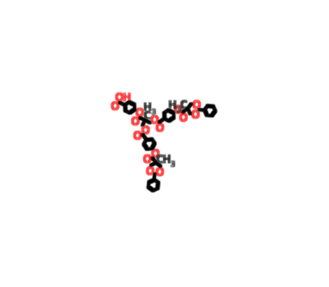 CC(COC(=O)c1ccc(OC(=O)C2(C)COC(c3ccccc3)OC2)cc1)(COC(=O)c1ccc(OC(=O)C2(C)COC(c3ccccc3)OC2)cc1)C(=O)Oc1ccc(C(=O)O)cc1